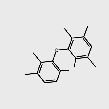 Cc1ccc(C)c(Oc2c(C)c(C)cc(C)c2C)c1C